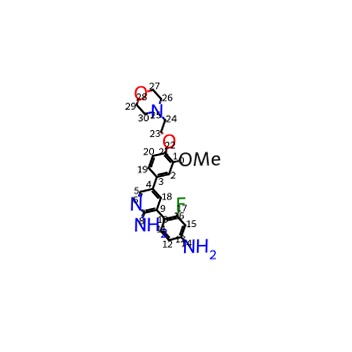 COc1cc(-c2cnc(N)c(-c3ccc(N)cc3F)c2)ccc1OCCN1CCOCC1